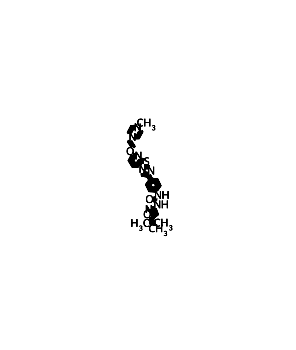 CN1CCN(CCOc2ccc3c(n2)sc2nc(-c4ccc(NC(=O)Nc5cc(C(C)(C)C)on5)cc4)cn23)CC1